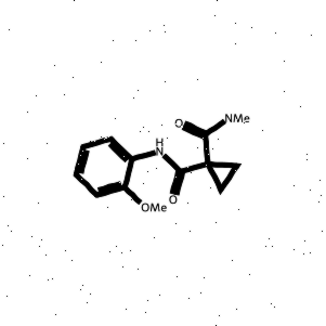 CNC(=O)C1(C(=O)Nc2ccccc2OC)CC1